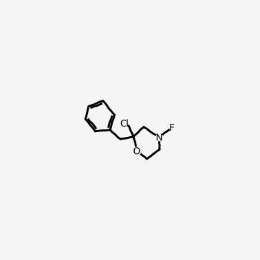 FN1CCOC(Cl)(Cc2ccccc2)C1